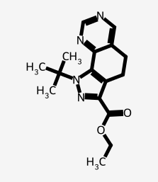 CCOC(=O)c1nn(C(C)(C)C)c2c1CCc1cncnc1-2